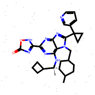 CC1CCC(Cn2c(C3(c4cccnc4)CC3)nc3nc(-c4nc(=O)o[nH]4)nc(N[C@H](C)C4CCC4)c32)CC1